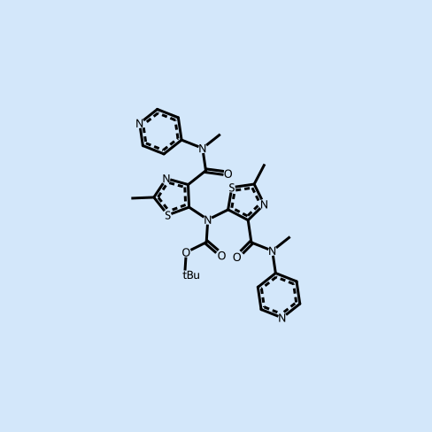 Cc1nc(C(=O)N(C)c2ccncc2)c(N(C(=O)OC(C)(C)C)c2sc(C)nc2C(=O)N(C)c2ccncc2)s1